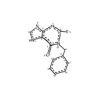 O=c1c2[nH]cnc2nc(F)n1Cc1ccccc1